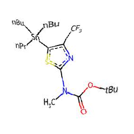 CCC[CH2][Sn]([CH2]CC)([CH2]CCC)[c]1sc(N(C)C(=O)OC(C)(C)C)nc1C(F)(F)F